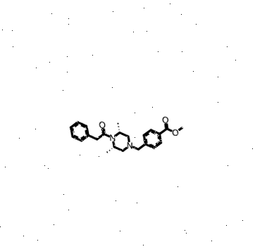 COC(=O)c1ccc(CN2C[C@@H](C)N(C(=O)Cc3ccccc3)[C@@H](C)C2)cc1